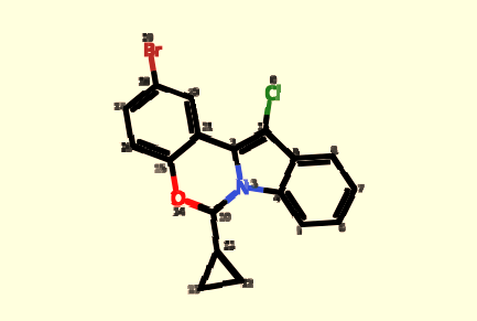 Clc1c2n(c3ccccc13)C(C1CC1)Oc1ccc(Br)cc1-2